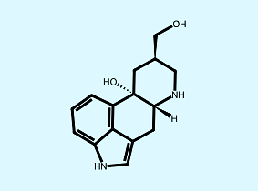 OC[C@H]1CN[C@@H]2Cc3c[nH]c4cccc(c34)[C@@]2(O)C1